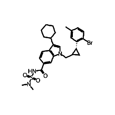 Cc1ccc(Br)c([C@@H]2CC2Cn2cc(C3CCCCC3)c3ccc(C(=O)NS(=O)(=O)N(C)C)cc32)c1